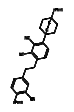 CCCCCc1ccc(CCc2ccc(C34CCC(CCCCC)(CC3)CC4)c(C#N)c2C#N)cc1C#N